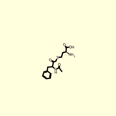 CC(=O)NC(Cc1[c]cccc1)C(=O)CSCC[C@H](N)C(=O)O